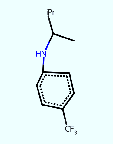 CC(C)C(C)Nc1ccc(C(F)(F)F)cc1